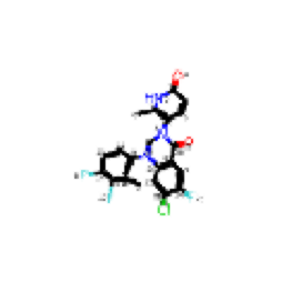 Cc1[nH]c(=O)ccc1N1CN(c2ccc(F)c(F)c2C)c2cc(Cl)c(F)cc2C1=O